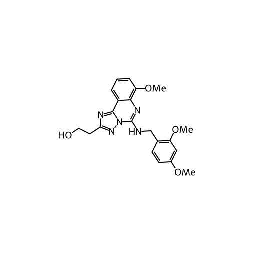 COc1ccc(CNc2nc3c(OC)cccc3c3nc(CCO)nn23)c(OC)c1